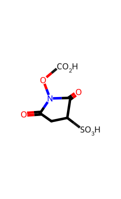 O=C(O)ON1C(=O)CC(S(=O)(=O)O)C1=O